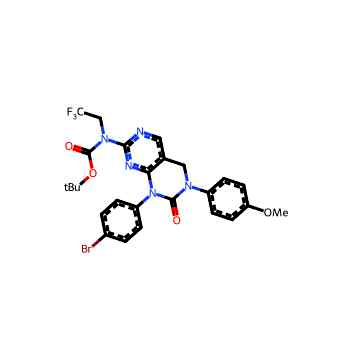 COc1ccc(N2Cc3cnc(N(CC(F)(F)F)C(=O)OC(C)(C)C)nc3N(c3ccc(Br)cc3)C2=O)cc1